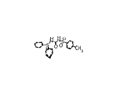 Cc1ccc(S(=O)(=O)NC(=O)N[SH](c2ccccc2)c2ccccc2)cc1